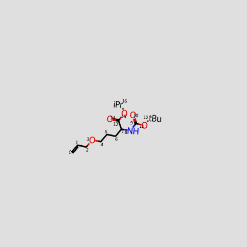 C=CCOCCCC(NC(=O)OC(C)(C)C)C(=O)OC(C)C